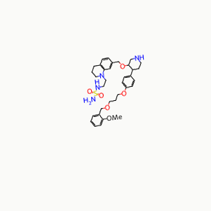 COc1ccccc1COCCCOc1ccc(C2CCNCC2OCc2ccc3c(c2)N(CCNS(N)(=O)=O)CCC3)cc1